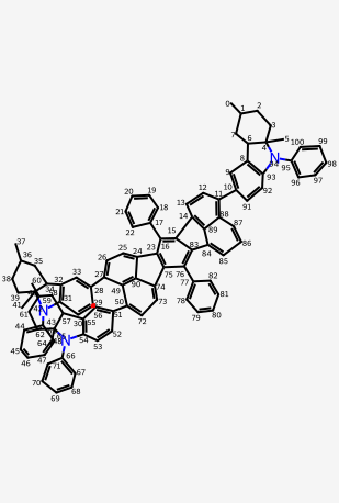 CC1CCC2(C)C(C1)c1cc(-c3ccc4c5c(-c6ccccc6)c6c7ccc(-c8ccc9c(c8)C8CC(C)CCC8(C)N9c8ccccc8)c8c(-c9ccc%10c(c9)C9CC(C)CCC9(C)N%10c9ccccc9)ccc(c6c(-c6ccccc6)c5c5cccc3c54)c87)ccc1N2c1ccccc1